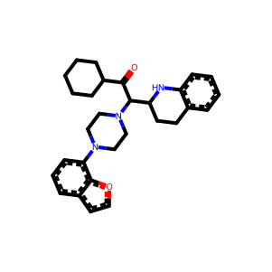 O=C(C1CCCCC1)C(C1CCc2ccccc2N1)N1CCN(c2cccc3ccoc23)CC1